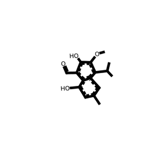 COc1c(O)c(C=O)c2c(O)cc(C)cc2c1C(C)C